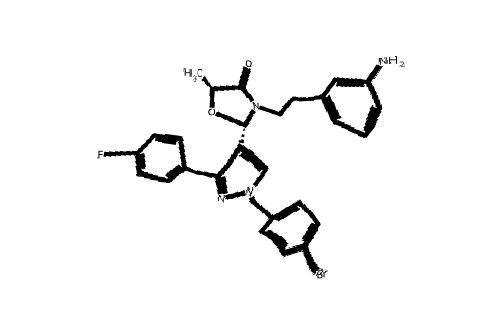 C[C@@H]1O[C@@H](c2cn(-c3ccc(Br)cc3)nc2-c2ccc(F)cc2)N(CCc2cccc(N)c2)C1=O